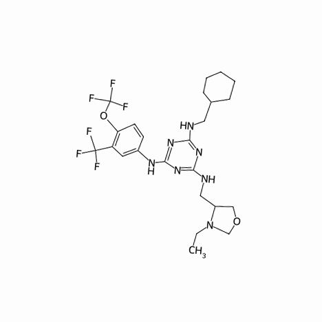 CCN1COCC1CNc1nc(NCC2CCCCC2)nc(Nc2ccc(OC(F)(F)F)c(C(F)(F)F)c2)n1